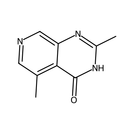 Cc1nc2cncc(C)c2c(=O)[nH]1